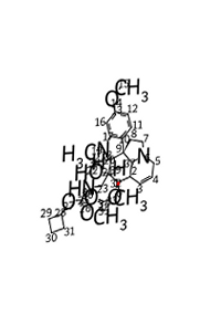 CC[C@]12C=CCN3CC[C@@]4(c5ccc(OC)cc5N(C)[C@H]4C(O)(CNC(=O)OC4CCC4)[C@@H]1OC(C)=O)[C@@H]32